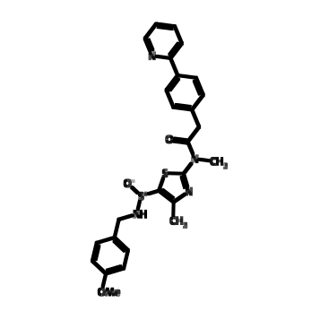 COc1ccc(CN[S+]([O-])c2sc(N(C)C(=O)Cc3ccc(-c4ccccn4)cc3)nc2C)cc1